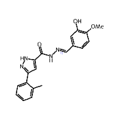 COc1ccc(/C=N/NC(=O)c2cc(-c3ccccc3C)n[nH]2)cc1O